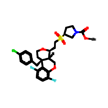 CC(C)(C)OC(=O)N1CC[C@@H](S(=O)(=O)CC[C@@H]2OCC[C@@]3(Cc4ccc(Cl)cc4)c4c(F)ccc(F)c4OC[C@@H]23)C1